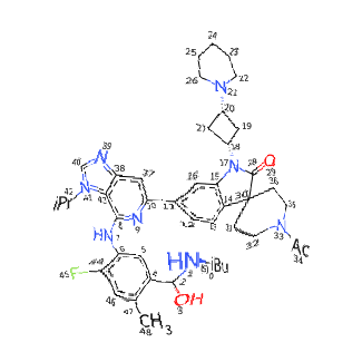 CC[C@H](C)NC(O)c1cc(Nc2nc(-c3ccc4c(c3)N([C@H]3C[C@@H](N5CCCCC5)C3)C(=O)C43CCN(C(C)=O)CC3)cc3ncn(C(C)C)c23)c(F)cc1C